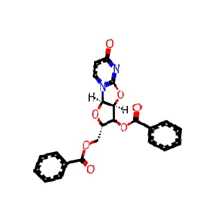 O=C(OC[C@@H]1O[C@@H]2[C@@H](Oc3nc(=O)ccn32)C1OC(=O)c1ccccc1)c1ccccc1